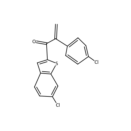 C=C(C(=O)c1cc2ccc(Cl)cc2s1)c1ccc(Cl)cc1